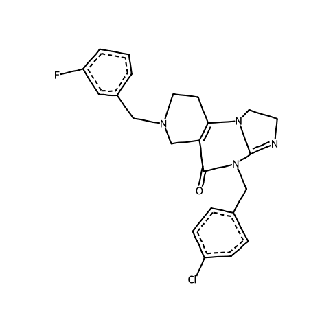 O=C1C2=C(CCN(Cc3cccc(F)c3)C2)N2CCN=C2N1Cc1ccc(Cl)cc1